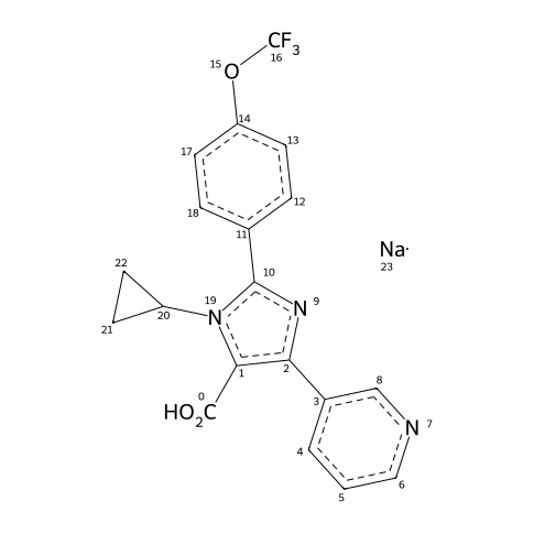 O=C(O)c1c(-c2cccnc2)nc(-c2ccc(OC(F)(F)F)cc2)n1C1CC1.[Na]